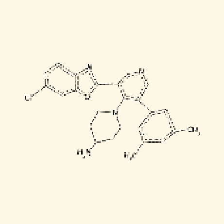 Cc1cc(C)cc(-c2cncc(-c3nc4ccc(Cl)cc4o3)c2N2CCC(N)CC2)c1